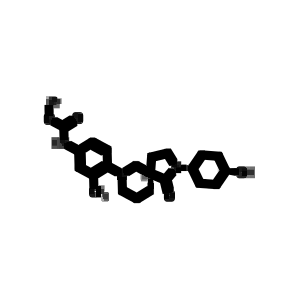 CC(C)OC(=O)Nc1ccc(N2CCC[C@@]3(CCN([C@H]4CC[C@H](O)CC4)C3=O)C2)c(C(F)(F)F)c1